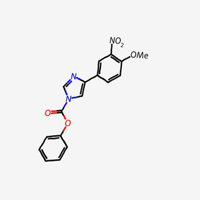 COc1ccc(-c2cn(C(=O)Oc3ccccc3)cn2)cc1[N+](=O)[O-]